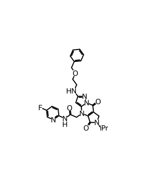 CC(C)N1Cc2c(n(CC(=O)Nc3ccc(F)cn3)c3cc(NCCOCc4ccccc4)nn3c2=O)C1=O